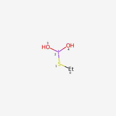 CCSI(O)O